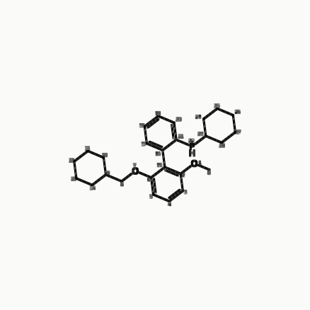 COc1cccc(OCC2CCCCC2)c1-c1ccccc1PC1CCCCC1